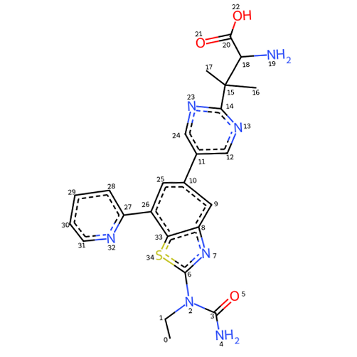 CCN(C(N)=O)c1nc2cc(-c3cnc(C(C)(C)C(N)C(=O)O)nc3)cc(-c3ccccn3)c2s1